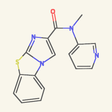 CN(C(=O)c1cn2c(n1)sc1ccccc12)c1cccnc1